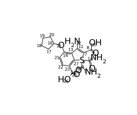 NC(=O)S1(C(N)=O)C(C(=O)O)=C(N)c2c(OC3CCCC3)ccc(C(=O)O)c21